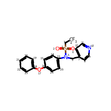 O=S(=O)(CC(F)(F)F)N(Cc1ccncc1)c1ccc(Oc2ccccc2)cc1